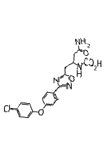 NC(=O)CC(Cc1nc(-c2ccc(Oc3ccc(Cl)cc3)cc2)no1)NC(=O)O